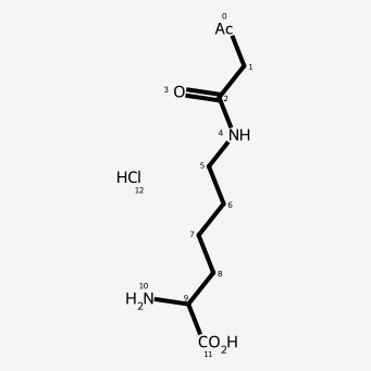 CC(=O)CC(=O)NCCCCC(N)C(=O)O.Cl